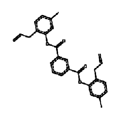 C=CCc1ccc(C)cc1OC(=O)c1cccc(C(=O)Oc2cc(C)ccc2CC=C)c1